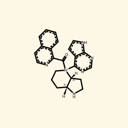 O=C(c1nccc2ccccc12)[N+]1(c2ncnc3[nH]ccc23)CCC[C@H]2NCC[C@H]21